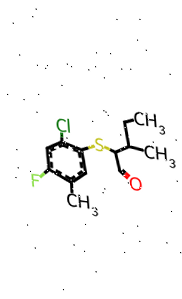 CCC(C)C(C=O)Sc1cc(C)c(F)cc1Cl